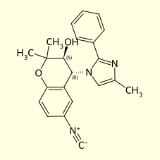 [C-]#[N+]c1ccc2c(c1)[C@@H](n1cc(C)nc1-c1ccccc1)[C@H](O)C(C)(C)O2